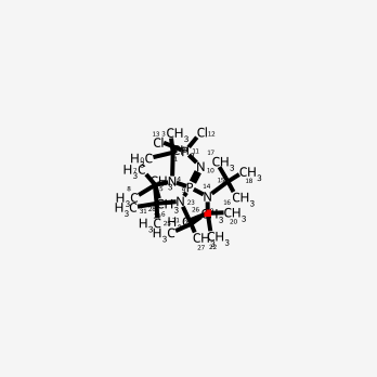 CC(C)(C)N(C(C)(C)C)P(=NP(Cl)Cl)(N(C(C)(C)C)C(C)(C)C)N(C(C)(C)C)C(C)(C)C